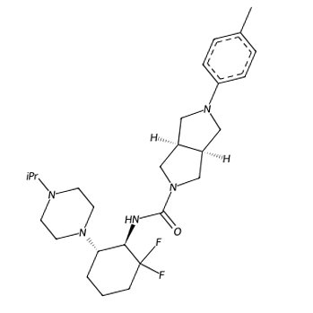 Cc1ccc(N2C[C@H]3CN(C(=O)N[C@@H]4[C@@H](N5CCN(C(C)C)CC5)CCCC4(F)F)C[C@H]3C2)cc1